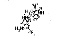 CC1c2c(Cc3nc4c(CCCC(F)(F)F)c(CN)ccc4[nH]3)cccc2NC(=O)N1C1CC1